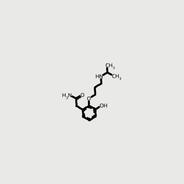 CC(C)NCCCOc1c(O)cccc1CC(N)=O